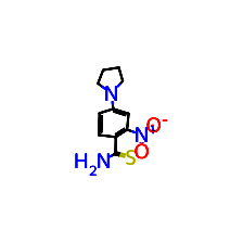 NC(=S)c1ccc(N2CCCC2)cc1[N+](=O)[O-]